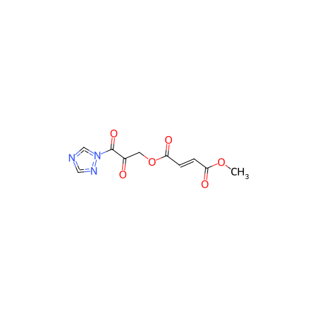 COC(=O)/C=C/C(=O)OCC(=O)C(=O)n1cncn1